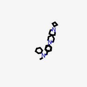 CCN(Cc1ccc(N2CCC3(CC2)CCN(C2CCC2)CC3)cc1)C1CCCCC1